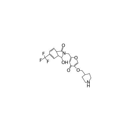 O=C1C2C=CC(C(F)(F)F)=CC2C(O)N1Cc1cc(=O)c(OCC2CCNCC2)co1